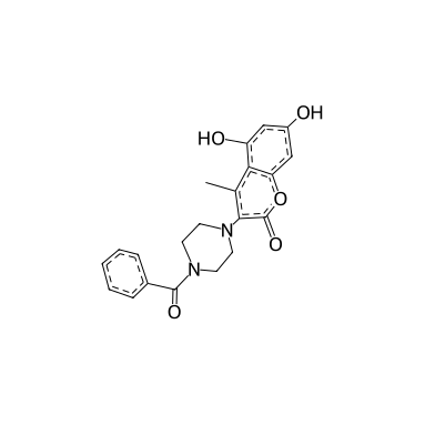 Cc1c(N2CCN(C(=O)c3ccccc3)CC2)c(=O)oc2cc(O)cc(O)c12